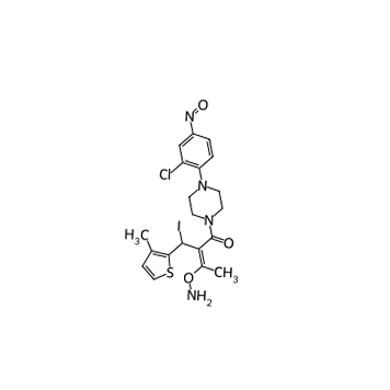 C/C(ON)=C(\C(=O)N1CCN(c2ccc(N=O)cc2Cl)CC1)C(I)c1sccc1C